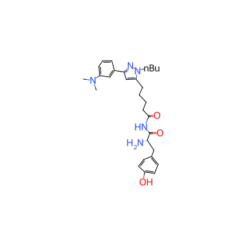 CCCCn1nc(-c2cccc(N(C)C)c2)cc1CCCCC(=O)NC(=O)[C@@H](N)Cc1ccc(O)cc1